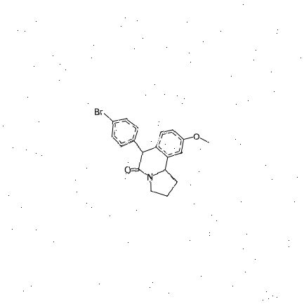 COc1ccc2c(c1)C1CCCN1C(=O)C2c1ccc(Br)cc1